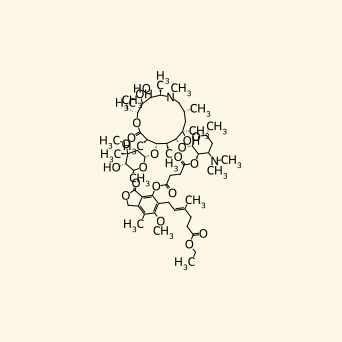 CCOC(=O)CC/C(C)=C/Cc1c(OC)c(C)c2c(c1OC(=O)CCC(=O)O[C@@H]1C(N(C)C)C[C@@H](C)O[C@H]1O[C@@H]1[C@@H](C)[C@H](O[C@H]3C[C@@](C)(OC)[C@@H](O)[C@H](C)O3)[C@@H](C)C(=O)O[C@H](CC)[C@@](C)(O)[C@H](O)[C@@H](C)N(C)C[C@H](C)C[C@@]1(C)O)C(=O)OC2